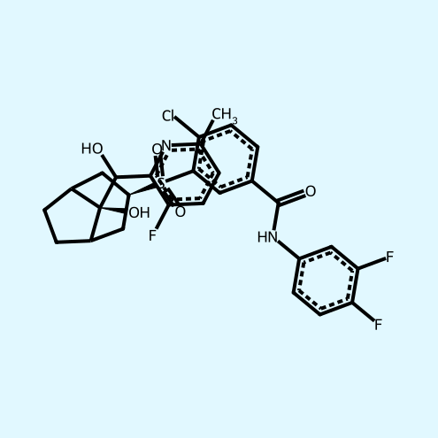 Cc1ccc(F)c(C(O)[C@]2(O)C3CCC2C[C@@H](S(=O)(=O)c2cc(C(=O)Nc4ccc(F)c(F)c4)ccc2Cl)C3)n1